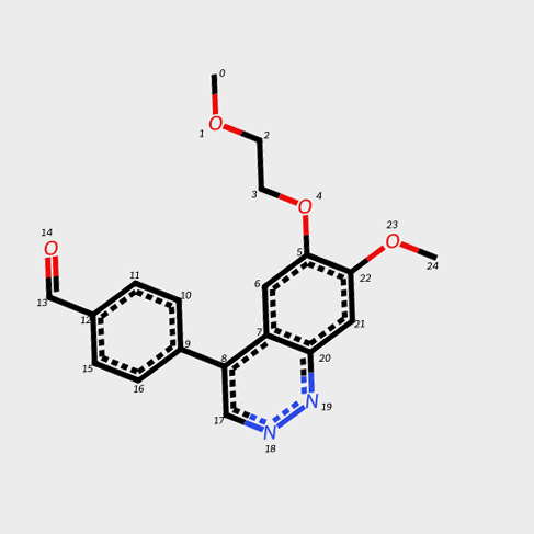 COCCOc1cc2c(-c3ccc(C=O)cc3)cnnc2cc1OC